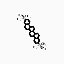 C[Si](C)(C)c1ccc2c(ccc3c2ccc2c4ccc5cc([Si](C)(C)C)ccc5c4ccc32)c1